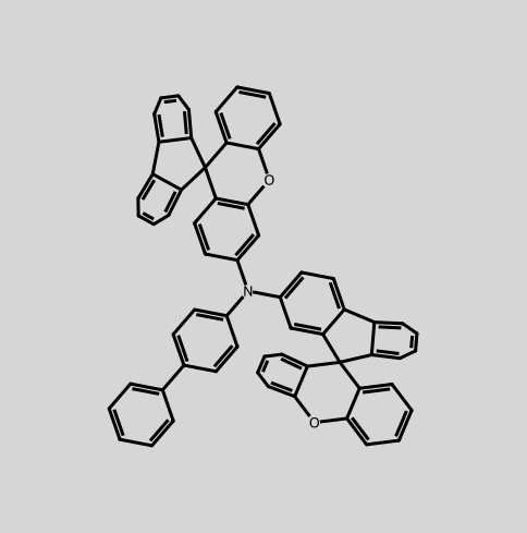 c1ccc(-c2ccc(N(c3ccc4c(c3)Oc3ccccc3C43c4ccccc4-c4ccccc43)c3ccc4c(c3)C3(c5ccccc5Oc5ccccc53)c3ccccc3-4)cc2)cc1